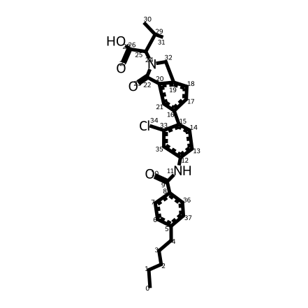 CCCCCc1ccc(C(=O)Nc2ccc(-c3ccc4c(c3)C(=O)N(C(C(=O)O)C(C)C)C4)c(Cl)c2)cc1